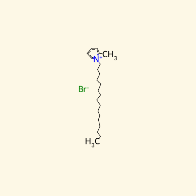 CCCCCCCCCCCCCCCC[n+]1ccccc1C.[Br-]